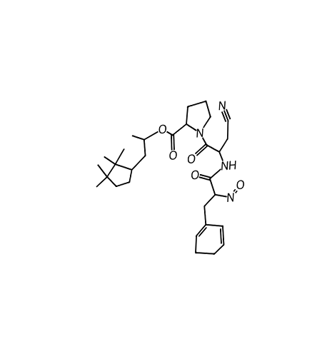 CC(CC1CCC(C)(C)C1(C)C)OC(=O)C1CCCN1C(=O)C(CC#N)NC(=O)C(CC1=CCCC=C1)N=O